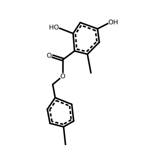 Cc1ccc(COC(=O)c2c(C)cc(O)cc2O)cc1